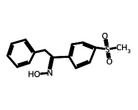 CS(=O)(=O)c1ccc(C(Cc2ccccc2)=NO)cc1